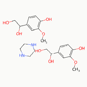 C1CNCCN1.COc1cc(C(O)CO)ccc1O.COc1cc(C(O)CO)ccc1O